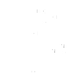 CC(C)Oc1ccc(-c2noc(Cc3ccc(Oc4ccccc4)cc3)n2)cc1Cl